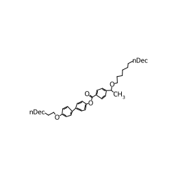 CCCCCCCCCCCCCCCCOC(C)c1ccc(C(=O)Oc2ccc(-c3ccc(OCCCCCCCCCCCC)cc3)cc2)cc1